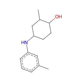 Cc1cccc(NC2CCC(O)C(C)C2)c1